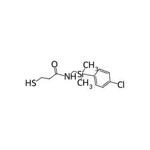 C[Si](C)(CNC(=O)CCS)c1ccc(Cl)cc1